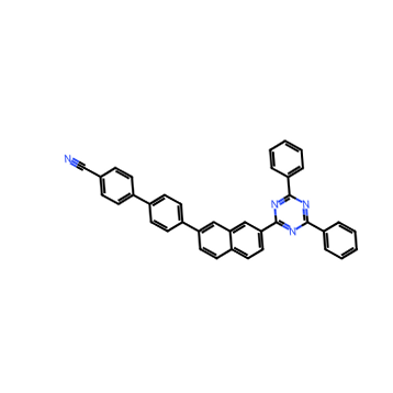 N#Cc1ccc(-c2ccc(-c3ccc4ccc(-c5nc(-c6ccccc6)nc(-c6ccccc6)n5)cc4c3)cc2)cc1